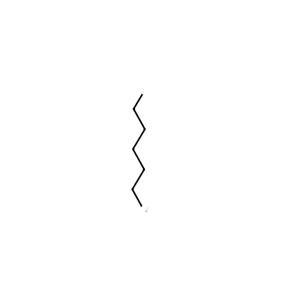 CCCCCCCC[O-].[K+]